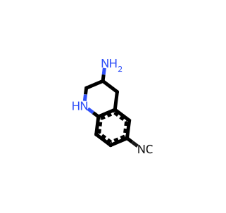 [C-]#[N+]c1ccc2c(c1)CC(N)CN2